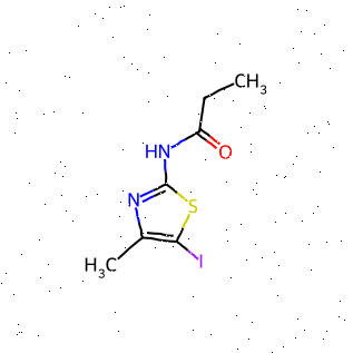 CCC(=O)Nc1nc(C)c(I)s1